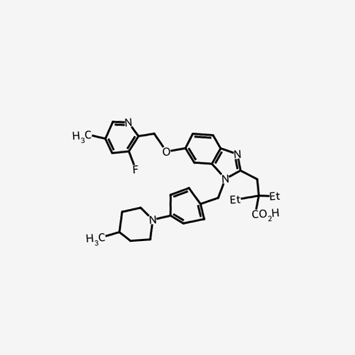 CCC(CC)(Cc1nc2ccc(OCc3ncc(C)cc3F)cc2n1Cc1ccc(N2CCC(C)CC2)cc1)C(=O)O